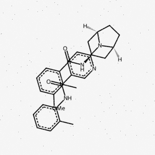 COc1cccc(C(=O)N[C@H]2C[C@H]3CC[C@@H](C2)N3c2ccc(C(=O)Nc3ccccc3C)cn2)c1C